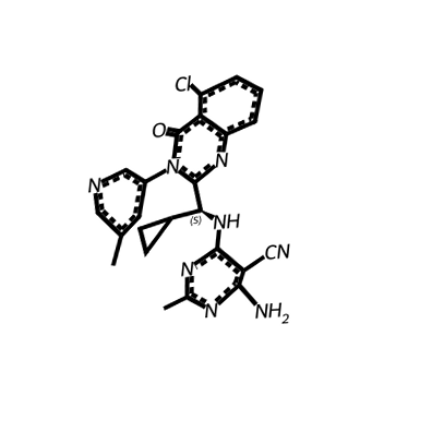 Cc1cncc(-n2c([C@@H](Nc3nc(C)nc(N)c3C#N)C3CC3)nc3cccc(Cl)c3c2=O)c1